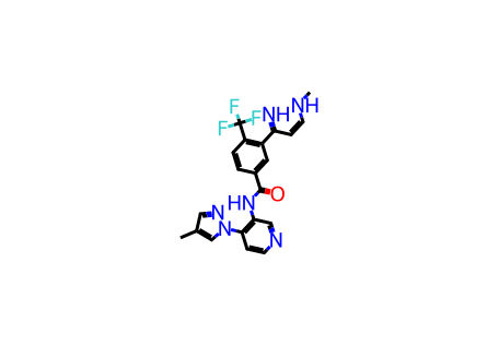 CN/C=C\C(=N)c1cc(C(=O)Nc2cnccc2-n2cc(C)cn2)ccc1C(F)(F)F